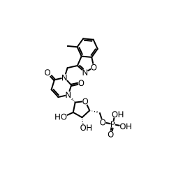 Cc1cccc2onc(Cn3c(=O)ccn([C@@H]4O[C@H](COP(=O)(O)O)[C@H](O)C4O)c3=O)c12